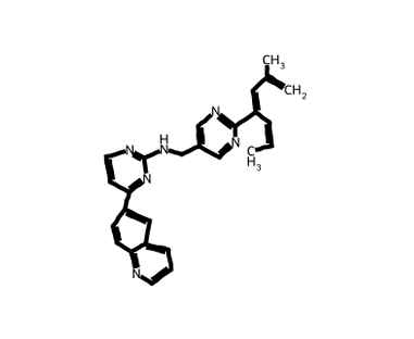 C=C(C)/C=C(\C=C/C)c1ncc(CNc2nccc(-c3ccc4ncccc4c3)n2)cn1